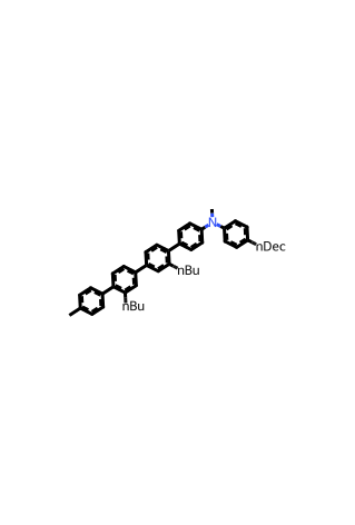 CCCCCCCCCCc1ccc(N(C)c2ccc(-c3ccc(-c4ccc(-c5ccc(C)cc5)c(CCCC)c4)cc3CCCC)cc2)cc1